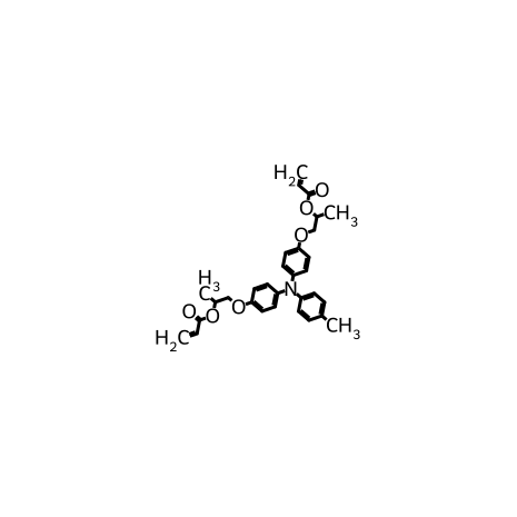 C=CC(=O)OC(C)COc1ccc(N(c2ccc(C)cc2)c2ccc(OCC(C)OC(=O)C=C)cc2)cc1